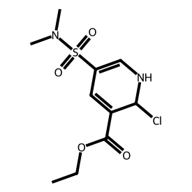 CCOC(=O)C1=CC(S(=O)(=O)N(C)C)=CNC1Cl